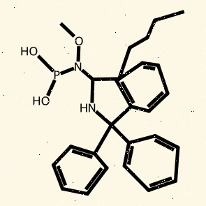 CCCCCC(NC(c1ccccc1)(c1ccccc1)c1ccccc1)N(OC)P(O)O